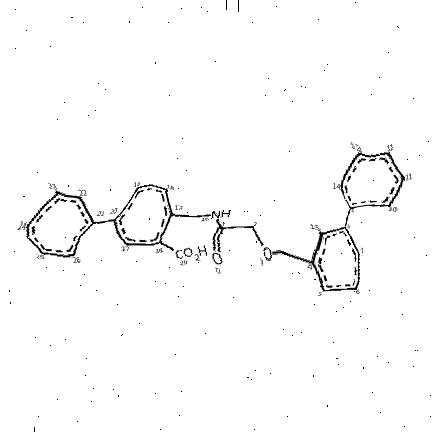 O=C(COc1cccc(-c2ccccc2)c1)Nc1ccc(-c2ccccc2)cc1C(=O)O